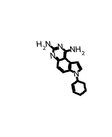 Nc1nc(N)c2c(ccc3c2ccn3C2C=CCCC2)n1